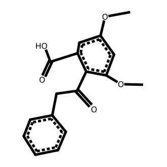 COc1cc(OC)c(C(=O)Cc2ccccc2)c(C(=O)O)c1